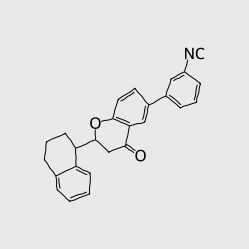 [C-]#[N+]c1cccc(-c2ccc3c(c2)C(=O)CC(C2CCCc4ccccc42)O3)c1